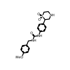 COc1ccc(CNC(=O)Nc2ccc(C3CNCCS3(=O)=O)cc2)cc1